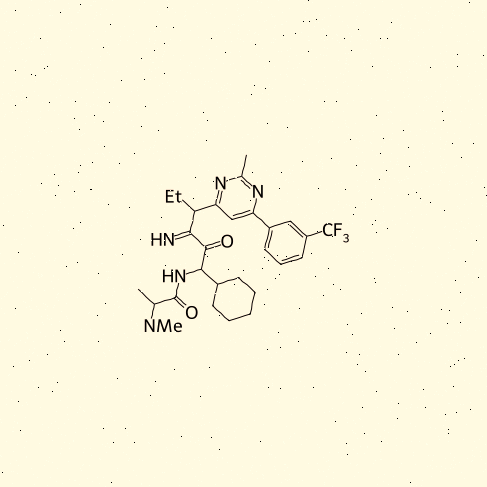 CCC(C(=N)C(=O)C(NC(=O)C(C)NC)C1CCCCC1)c1cc(-c2cccc(C(F)(F)F)c2)nc(C)n1